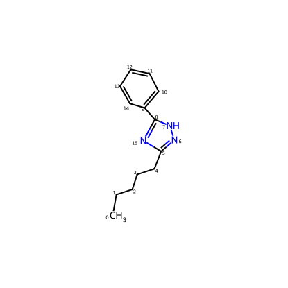 CCCCCc1n[nH]c(-c2ccccc2)n1